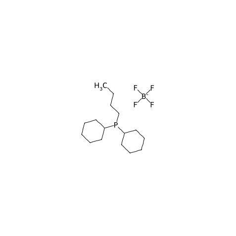 CCCCP(C1CCCCC1)C1CCCCC1.F[B-](F)(F)F